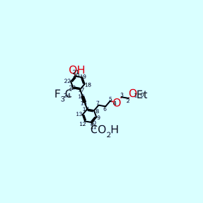 CCOCCOCCCc1cc(C(=O)O)ccc1C#Cc1ccc(O)cc1C(F)(F)F